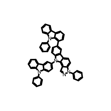 c1ccc(-n2ncc3c2ccc2c4cc(-c5cccc6c7ccccc7n(-c7ccccc7)c56)ccc4n(-c4ccc5c(c4)c4ccccc4n5-c4ccccc4)c23)cc1